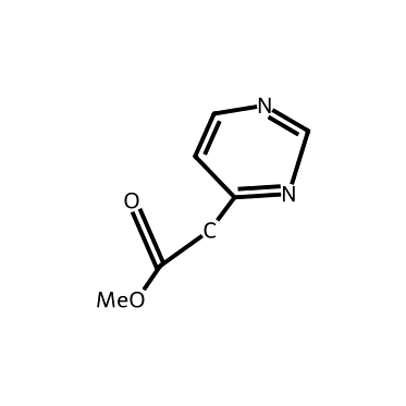 COC(=O)Cc1ccncn1